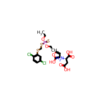 CCOP(=S)(OCC)SCSc1cc(Cl)ccc1Cl.N[C@@H](CC(=O)O)C(=O)O.Oc1ccco1